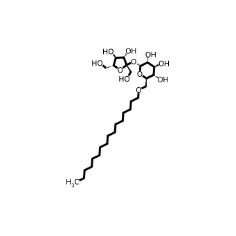 CCCCCCCCCCCCCCCCOC[C@H]1O[C@H](O[C@]2(CO)O[C@H](CO)[C@@H](O)[C@@H]2O)[C@H](O)[C@@H](O)[C@@H]1O